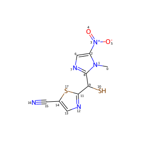 Cn1c([N+](=O)[O-])cnc1C(S)c1ncc(C#N)s1